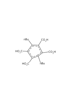 CCCCc1c(C(=O)O)c(C(=O)O)c(CCCC)c(C(=O)O)c1C(=O)O